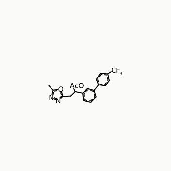 CC(=O)OC(Cc1nnc(C)o1)c1cccc(-c2ccc(C(F)(F)F)cc2)c1